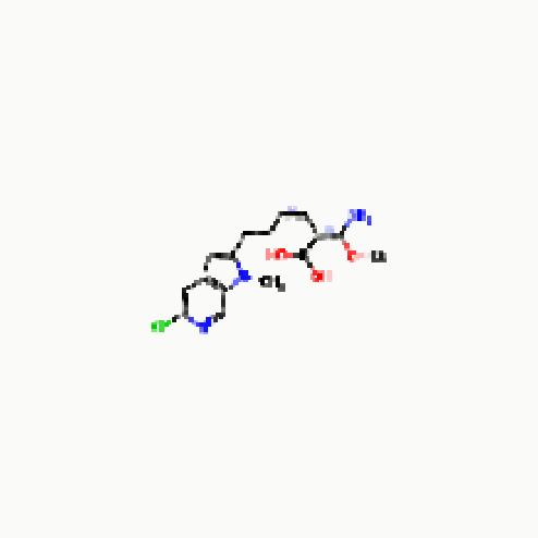 CCO/C(N)=C(/C=C\CCc1cc2cc(Cl)ncc2n1C)B(O)O